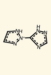 c1n[nH]c(-[n+]2ncc[nH]2)n1